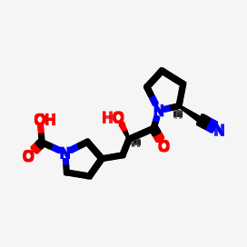 N#C[C@@H]1CCCN1C(=O)[C@H](O)CC1CCN(C(=O)O)C1